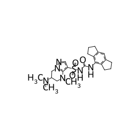 CN1CC(N(C)C)Cn2ncc(S(=O)(=O)NC(=O)Nc3c4c(cc5c3CCC5)CCC4)c21